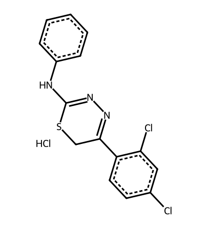 Cl.Clc1ccc(C2=NN=C(Nc3ccccc3)SC2)c(Cl)c1